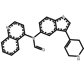 O=CN(c1ccc2scc(C3=CCNCC3)c2c1)c1ccnc2ccccc12